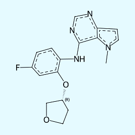 Cn1ccc2ncnc(Nc3ccc(F)cc3O[C@@H]3CCOC3)c21